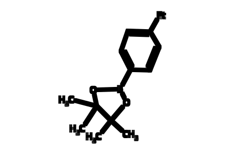 CCc1ccc(B2OC(C)(C)C(C)(C)O2)cc1